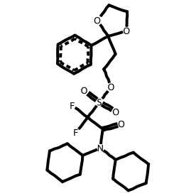 O=C(N(C1CCCCC1)C1CCCCC1)C(F)(F)S(=O)(=O)OCCC1(c2ccccc2)OCCO1